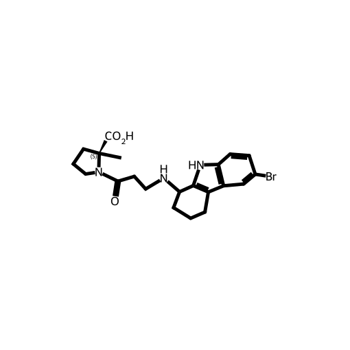 C[C@@]1(C(=O)O)CCCN1C(=O)CCNC1CCCc2c1[nH]c1ccc(Br)cc21